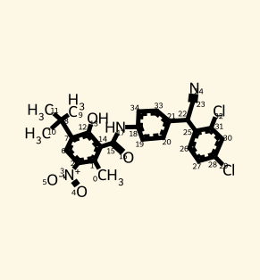 Cc1c([N+](=O)[O-])cc(C(C)(C)C)c(O)c1C(=O)Nc1ccc(C(C#N)c2ccc(Cl)cc2Cl)cc1